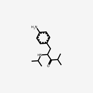 CC(C)NC(Cc1ccc(N)cc1)C(=O)C(C)C